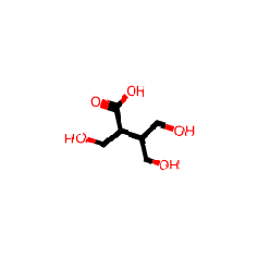 O=C(O)C(CO)C(CO)CO